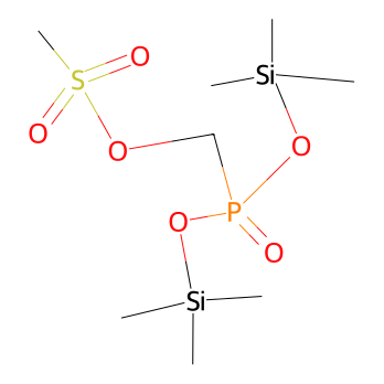 C[Si](C)(C)OP(=O)(COS(C)(=O)=O)O[Si](C)(C)C